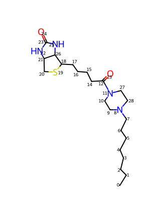 CCCCCCCCN1CCN(C(=O)CCCCC2SCC3NC(=O)NC32)CC1